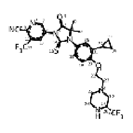 CC1(C)C(=O)N(c2cnc(C#N)c(C(F)(F)F)c2)C(=S)N1c1ccc(OCCN2CCN[C@H](C(F)(F)F)C2)c(C2CC2)c1